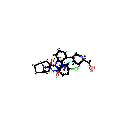 O=C(Nc1ccc(Cl)c(F)c1)N1C2CCC1CC(n1c(=O)[nH]c3c(-c4ccc(CO)nc4)cccc31)C2